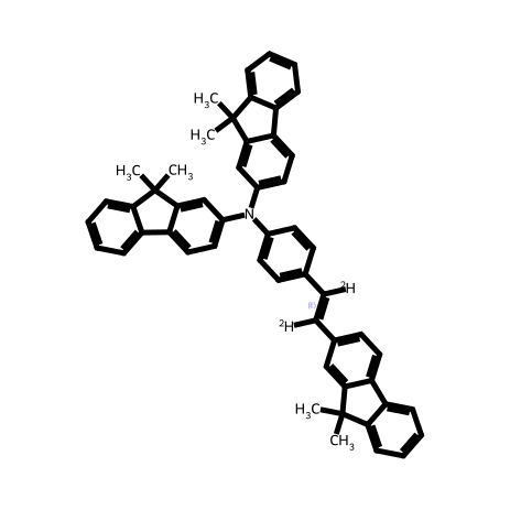 [2H]/C(=C(/[2H])c1ccc2c(c1)C(C)(C)c1ccccc1-2)c1ccc(N(c2ccc3c(c2)C(C)(C)c2ccccc2-3)c2ccc3c(c2)C(C)(C)c2ccccc2-3)cc1